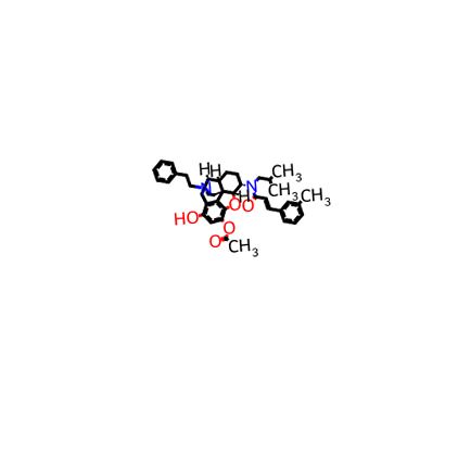 CC(=O)Oc1cc(O)c2c3c1O[C@H]1[C@@H](N(CC(C)C)C(=O)C=Cc4cccc(C)c4)CC[C@H]4[C@@H](C2)N(CCc2ccccc2)CC[C@@]341